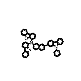 c1ccc(-n2c3ccccc3c3ccc(-c4ccc5ccc(N(c6cccc7c6oc6ccccc67)c6cccc7c6sc6ccccc67)cc5c4)cc32)cc1